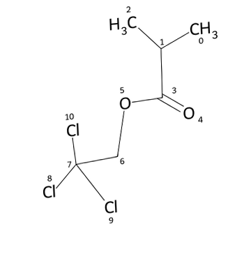 CC(C)C(=O)OCC(Cl)(Cl)Cl